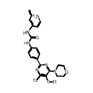 C=C/C=C(\C=C/N)NC(=O)Nc1ccc(-c2nc(Cl)c(OCC)c(N3CCOCC3)n2)cc1